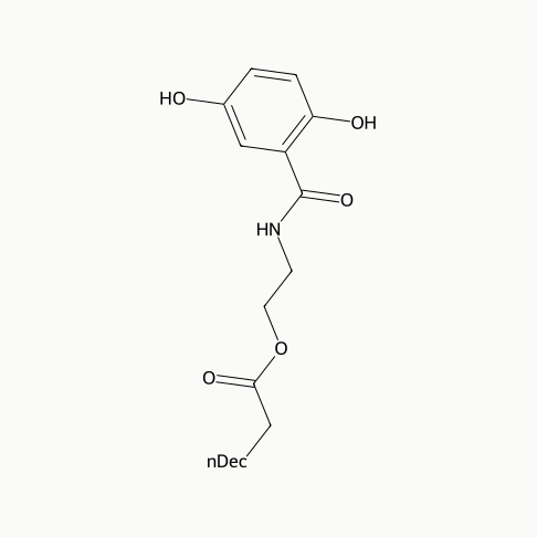 CCCCCCCCCCCC(=O)OCCNC(=O)c1cc(O)ccc1O